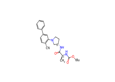 C[C@H](NC(=O)OC(C)(C)C)C(=O)N[C@H]1CCN(c2cc(-c3ccccc3)ccc2C#N)C1